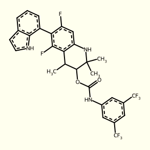 CC1c2c(cc(F)c(-c3cccc4cc[nH]c34)c2F)NC(C)(C)C1OC(=O)Nc1cc(C(F)(F)F)cc(C(F)(F)F)c1